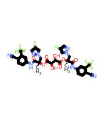 C[C@@](Cn1cc(F)cn1)(OC(=O)C(O)C(O)C(=O)O[C@@](C)(Cn1cc(F)cn1)C(=O)Nc1ccc(C#N)c(C(F)(F)F)c1)C(=O)Nc1ccc(C#N)c(C(F)(F)F)c1